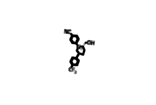 N#Cc1ccc(N2CC(c3ccc(C(F)(F)F)cc3)CC[C@H]2CO)cc1